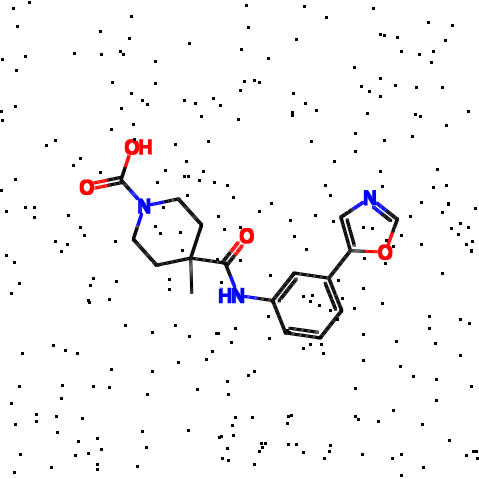 CC1(C(=O)Nc2cccc(-c3cnco3)c2)CCN(C(=O)O)CC1